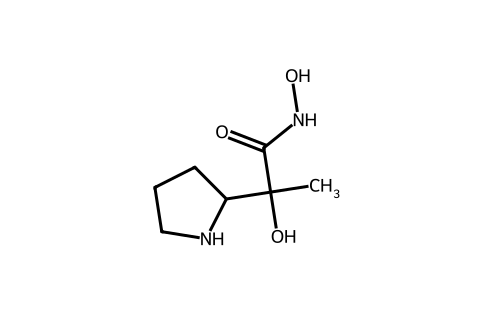 CC(O)(C(=O)NO)C1CCCN1